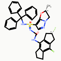 C[C@@H]1Cn2ncc(S(=O)(=NC(=O)Nc3c4c(c(F)c5c3C[C@H](F)C5)CCC4)NC(c3ccccc3)(c3ccccc3)c3ccccc3)c2O1